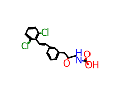 O=C(CNC(=O)O)Cc1cccc(/C=C/c2c(Cl)cccc2Cl)c1